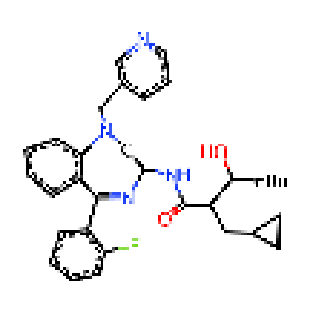 CCCCC(O)C(CC1CC1)C(=O)NC1CN(Cc2cccnc2)c2ccccc2C(c2ccccc2F)=N1